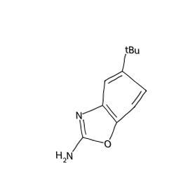 CC(C)(C)c1ccc2oc(N)nc2c1